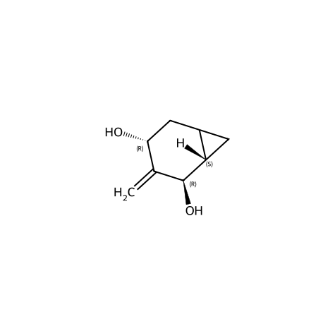 C=C1[C@H](O)CC2C[C@@H]2[C@H]1O